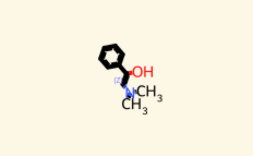 CN(C)/C=C(\O)c1ccccc1